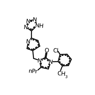 CCCc1cn(-c2c(C)cccc2Cl)c(=O)n1Cc1ccc(-c2nnn[nH]2)nc1